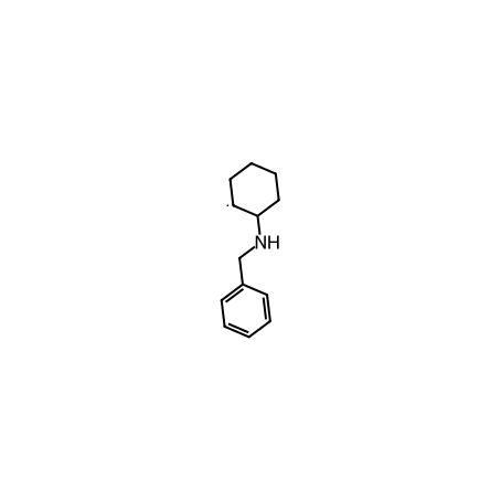 [CH]1CCCCC1NCc1ccccc1